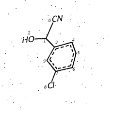 N#CC(O)c1cccc(Cl)c1